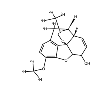 [2H]C([2H])([2H])Oc1ccc2c3c1OC1C(O)C=C[C@H]4[C@H](N(C([2H])([2H])[2H])CC[C@]314)C2([2H])[2H]